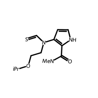 CNC(=O)c1[nH]ccc1N(C=S)CCOC(C)C